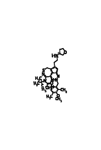 COc1c(C)cnc(Cn2nc3cc(CCN[C@@H]4CCOC4)c4c-3c(n2)C(N(C(=O)O)C(C)(C)C)=NSC4)c1C